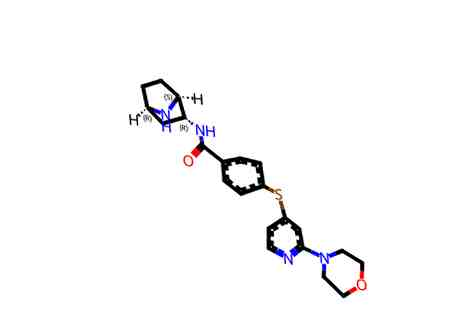 O=C(N[C@@H]1C[C@H]2CC[C@@H]1N2)c1ccc(Sc2ccnc(N3CCOCC3)c2)cc1